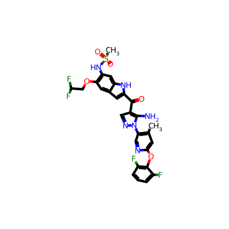 Cc1cc(Oc2c(F)cccc2F)ncc1-n1ncc(C(=O)c2cc3cc(OCC(F)F)c(NS(C)(=O)=O)cc3[nH]2)c1N